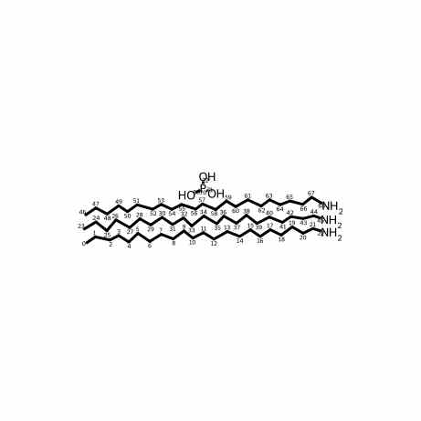 CCCCCCCCCCCCCCCCCCCCCCN.CCCCCCCCCCCCCCCCCCCCCCN.CCCCCCCCCCCCCCCCCCCCCCN.OP(O)O